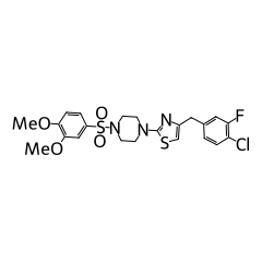 COc1ccc(S(=O)(=O)N2CCN(c3nc(Cc4ccc(Cl)c(F)c4)cs3)CC2)cc1OC